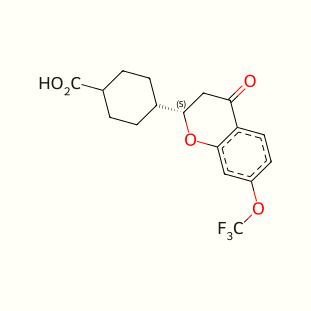 O=C1C[C@@H](C2CCC(C(=O)O)CC2)Oc2cc(OC(F)(F)F)ccc21